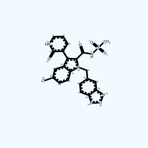 CS(=O)(=O)NC(=O)c1c(-c2ccc[nH]c2=O)c2cc(Cl)ccc2n1Cc1ccc2nonc2c1